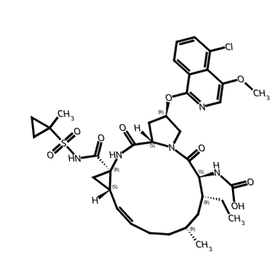 CC[C@@H]1C[C@H](C)CCC=C[C@@H]2C[C@@]2(C(=O)NS(=O)(=O)C2(C)CC2)NC(=O)[C@@H]2C[C@@H](Oc3ncc(OC)c4c(Cl)cccc34)CN2C(=O)[C@H]1NC(=O)O